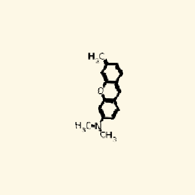 C=c1ccc2c(c1)Oc1cc(N(C)C)ccc1C=2